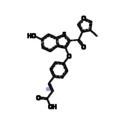 Cc1cocc1C(=O)c1sc2cc(O)ccc2c1Oc1ccc(/C=C/C(=O)O)cc1